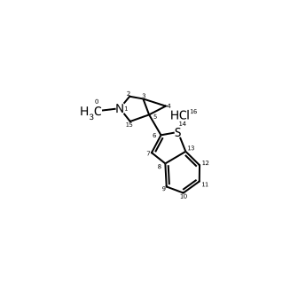 CN1CC2CC2(c2cc3ccccc3s2)C1.Cl